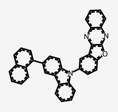 c1ccc2c(-c3ccc4c(c3)c3ccccc3n4-c3ccc4oc5nc6ccccc6nc5c4c3)cccc2c1